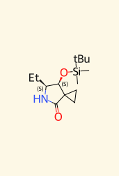 CC[C@@H]1NC(=O)C2(CC2)[C@@H]1O[Si](C)(C)C(C)(C)C